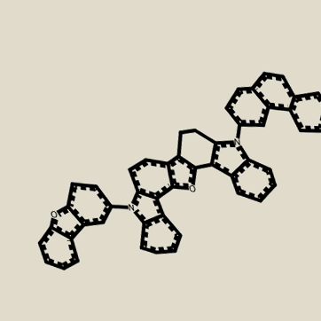 c1ccc2c(c1)ccc1ccc(-n3c4c(c5ccccc53)-c3oc5c(ccc6c5c5ccccc5n6-c5ccc6oc7ccccc7c6c5)c3CC4)cc12